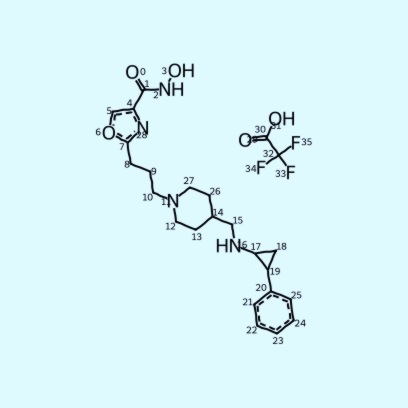 O=C(NO)c1coc(CCCN2CCC(CNC3CC3c3ccccc3)CC2)n1.O=C(O)C(F)(F)F